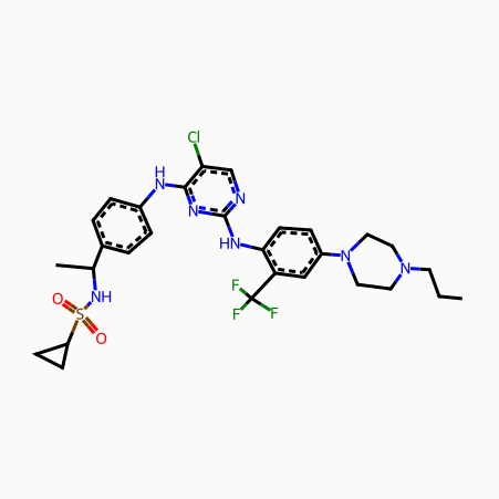 CCCN1CCN(c2ccc(Nc3ncc(Cl)c(Nc4ccc(C(C)NS(=O)(=O)C5CC5)cc4)n3)c(C(F)(F)F)c2)CC1